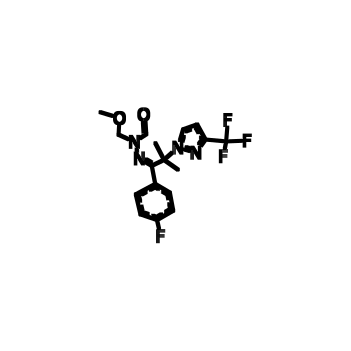 COCN(C=O)N=C(c1ccc(F)cc1)C(C)(C)n1ccc(C(F)(F)F)n1